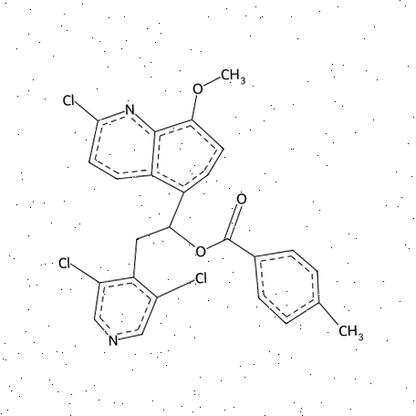 COc1ccc(C(Cc2c(Cl)cncc2Cl)OC(=O)c2ccc(C)cc2)c2ccc(Cl)nc12